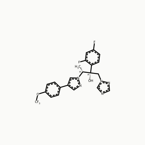 C[C@@H](n1cc(-c2ccc(OC(F)(F)F)cc2)cn1)[C@](O)(Cn1cncn1)c1ccc(F)cc1F